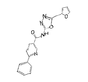 O=C(Nc1nnc(-c2ccco2)o1)c1ccc(-c2ccccc2)nc1